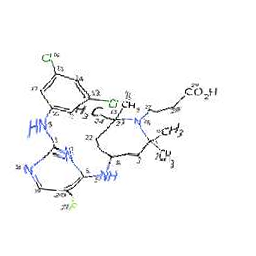 CC1(C)CC(Nc2nc(Nc3cc(Cl)cc(Cl)c3)ncc2F)CC(C)(C)N1CCC(=O)O